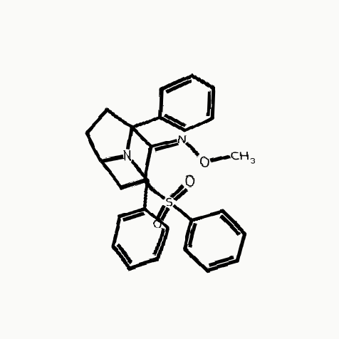 CON=C1C(S(=O)(=O)c2ccccc2)CC2CCC1(c1ccccc1)N2Cc1ccccc1